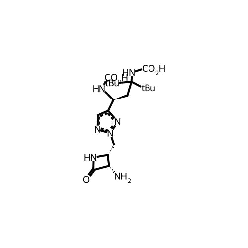 CC(C)(C)C(C[C@H](NC(=O)O)c1cnn(C[C@H]2NC(=O)[C@H]2N)n1)(NC(=O)O)C(C)(C)C